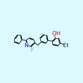 CCc1ccc(-c2cccc(Cc3ccc(-c4ccccc4)nc3F)c2)c(O)c1